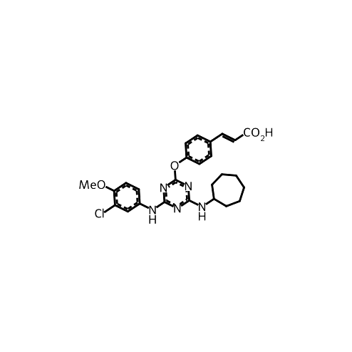 COc1ccc(Nc2nc(NC3CCCCCC3)nc(Oc3ccc(C=CC(=O)O)cc3)n2)cc1Cl